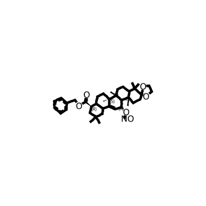 CC1(C)CC2C3=C[C@H](ON=O)C4[C@@]5(C)CCC6(OCCO6)C(C)(C)C5CC[C@@]4(C)[C@]3(C)CCC2[C@H](C(=O)OCc2ccccc2)C1